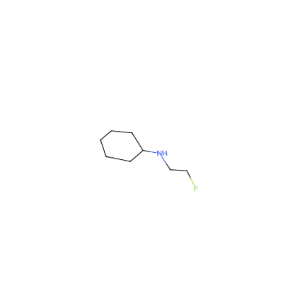 FCCNC1CCCCC1